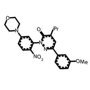 COc1cccc(-c2cc(C(C)C)c(=O)n(-c3cc(N4CCOCC4)ccc3[N+](=O)[O-])n2)c1